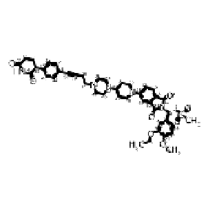 CCOc1cc([C@@H](CS(C)(=O)=O)N2C(=O)c3ccc(N4CCC(N5CCN(CCC#Cc6ccc(C7CCC(=O)NC7=O)cc6)CC5)CC4)cc3C2=O)ccc1OC